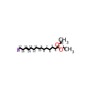 CCOC(CCCCCCCCCC/C=C/CCI)OCC